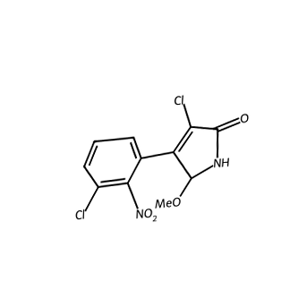 COC1NC(=O)C(Cl)=C1c1cccc(Cl)c1[N+](=O)[O-]